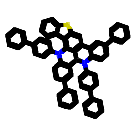 c1ccc(-c2ccc(N3B4c5cc(-c6ccccc6)ccc5N(c5ccc(-c6ccccc6)cc5)c5c4c(cc4sc6ccccc6c54)-c4cc(-c5ccccc5)ccc43)cc2)cc1